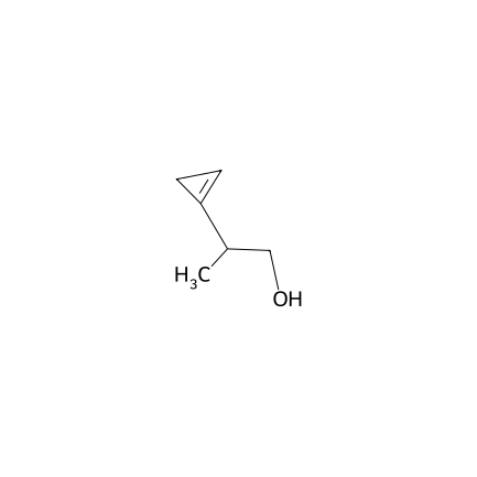 CC(CO)C1=CC1